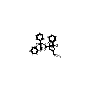 CCCCC(C)(C(=O)OC(C#N)(Oc1ccccc1)c1ccccc1)C(C)(Cl)c1ccccc1